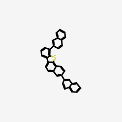 c1ccc2cc(-c3ccc4c(ccc5c6cccc(-c7ccc8ccccc8c7)c6sc45)c3)ccc2c1